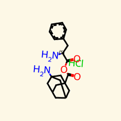 Cl.N[C@@H](Cc1ccccc1)C(=O)OC(=O)C12CC3CC(CC(N)(C3)C1)C2